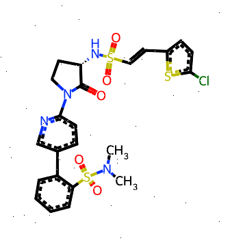 CN(C)S(=O)(=O)c1ccccc1-c1ccc(N2CC[C@H](NS(=O)(=O)/C=C/c3ccc(Cl)s3)C2=O)nc1